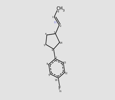 C/C=C/C1CCC(c2ccc(F)cc2)C1